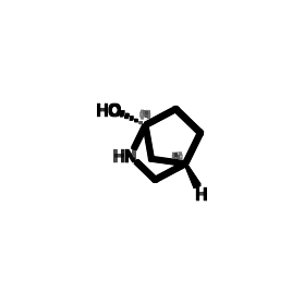 O[C@@]12CC[C@H](CN1)C2